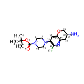 CC(C)(C)OC(=O)N1CCN(c2cc3c(nc2F)C[C@@H](N)CO3)CC1